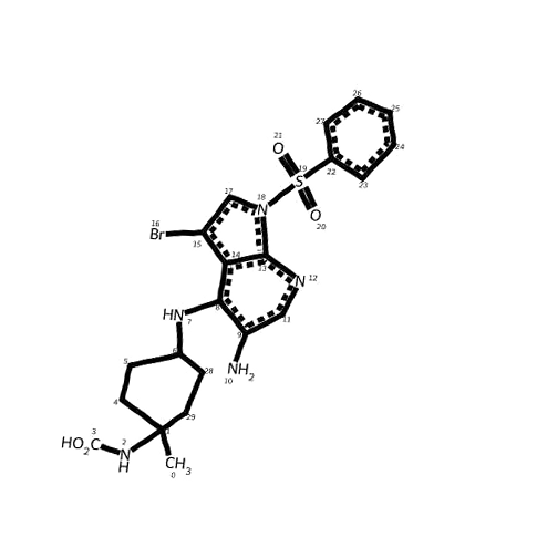 CC1(NC(=O)O)CCC(Nc2c(N)cnc3c2c(Br)cn3S(=O)(=O)c2ccccc2)CC1